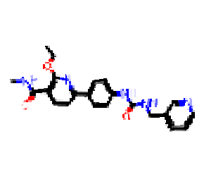 CCOc1nc(-c2ccc(NC(=O)NCc3cccnc3)cc2)ccc1C(=O)NC